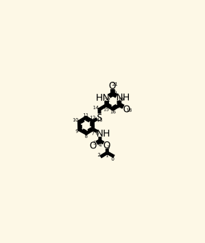 CC(C)OC(=O)Nc1ccccc1SCc1cc(=O)[nH]c(=O)[nH]1